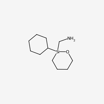 NC[Si]1(C2CCCCC2)CCCCO1